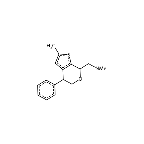 CNCC1OCC(c2ccccc2)c2cc(C)sc21